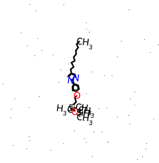 CCCCCCCCCCc1cnc(-c2ccc(OCCC[Si](C)(C)O[SiH](C)C)cc2)nc1